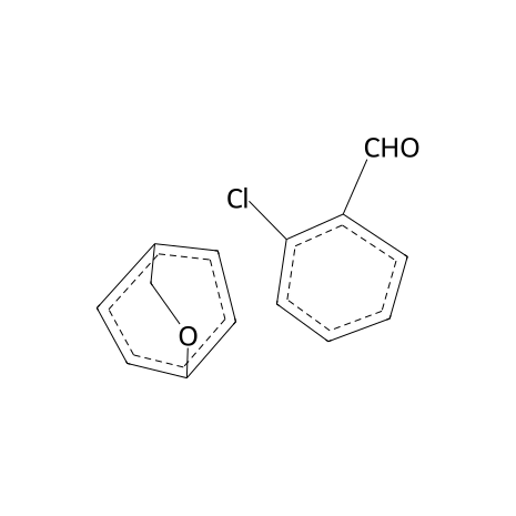 O=Cc1ccccc1Cl.c1cc2ccc1CO2